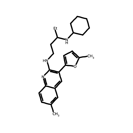 CCC(CCNc1nc2ccc(C)cc2cc1-c1ccc(C)o1)NC1CCCCC1